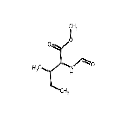 CCC(C)C(N[C]=O)C(=O)OC